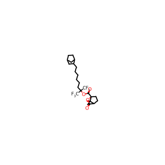 CC1(C)C2CCC1(C(=O)OC(CCCCCCC1CC3CCC1C3)(C(F)(F)F)C(F)(F)F)OC2=O